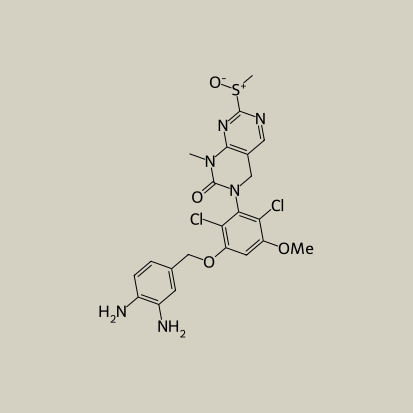 COc1cc(OCc2ccc(N)c(N)c2)c(Cl)c(N2Cc3cnc([S+](C)[O-])nc3N(C)C2=O)c1Cl